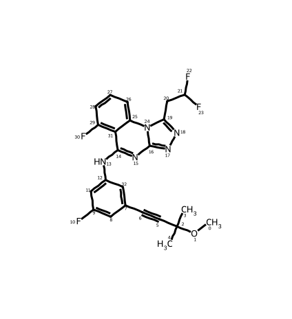 COC(C)(C)C#Cc1cc(F)cc(Nc2nc3nnc(CC(F)F)n3c3cccc(F)c23)c1